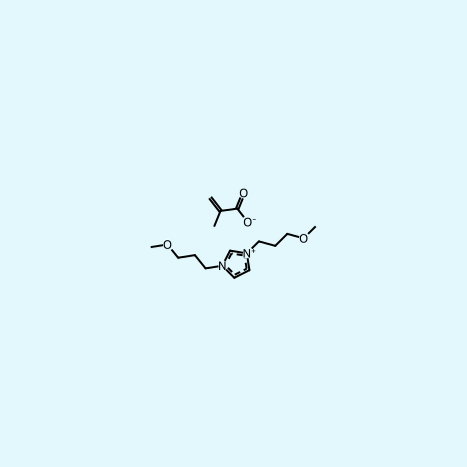 C=C(C)C(=O)[O-].COCCCn1cc[n+](CCCOC)c1